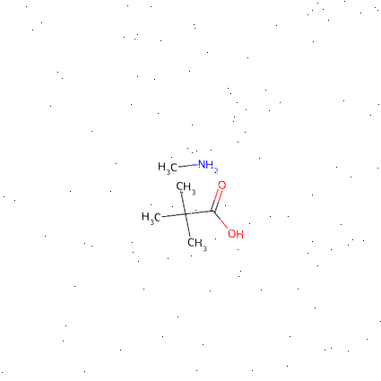 CC(C)(C)C(=O)O.CN